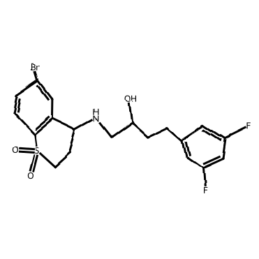 O=S1(=O)CCC(NCC(O)CCc2cc(F)cc(F)c2)c2cc(Br)ccc21